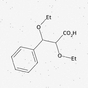 CCOC(C(=O)O)C(OCC)c1ccccc1